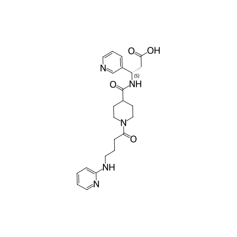 O=C(O)C[C@H](NC(=O)C1CCN(C(=O)CCCNc2ccccn2)CC1)c1cccnc1